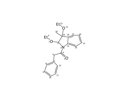 CCOC1N(C(=O)Cc2ccccc2)c2ccccc2C1(C)OCC